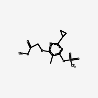 Cc1c(OCC(=O)OC(C)(C)C)nc(C2CC2)nc1OS(=O)(=O)C(F)(F)F